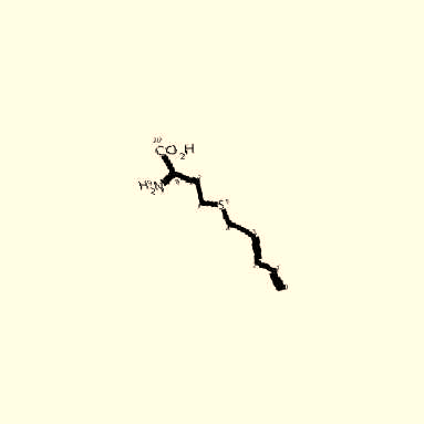 C=C/C=C/CSCCC(N)C(=O)O